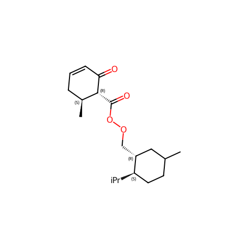 CC1CC[C@@H](C(C)C)[C@H](COOC(=O)[C@H]2C(=O)C=CC[C@@H]2C)C1